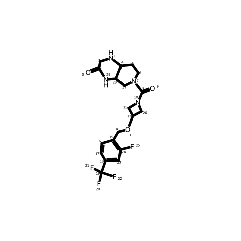 O=C1CNC2CCN(C(=O)N3CC(OCc4ccc(C(F)(F)F)cc4F)C3)CC2N1